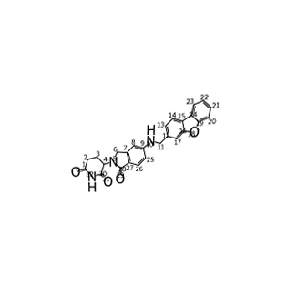 O=C1CCC(N2Cc3cc(NCc4ccc5c(c4)oc4ccccc45)ccc3C2=O)C(=O)N1